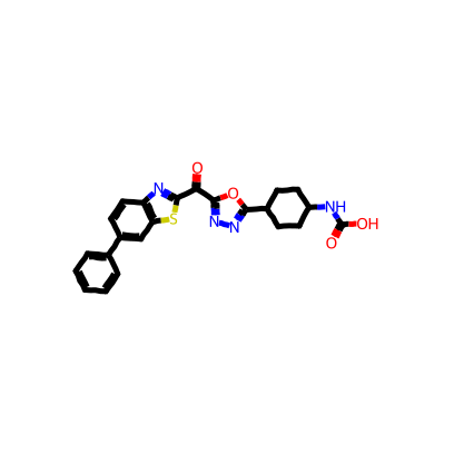 O=C(O)NC1CCC(c2nnc(C(=O)c3nc4ccc(-c5ccccc5)cc4s3)o2)CC1